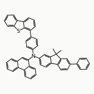 CC1(C)c2cc(-c3ccccc3)ccc2-c2ccc(N(c3ccc(-c4cccc5c4sc4ccccc45)cc3)c3cc4ccccc4c4ccccc34)cc21